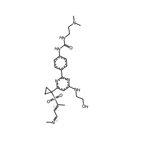 C/N=C\C=C(/C)S(=O)(=O)C1(c2cc(NCCO)nc(-c3ccc(NC(=O)NCCN(C)C)cc3)n2)CC1